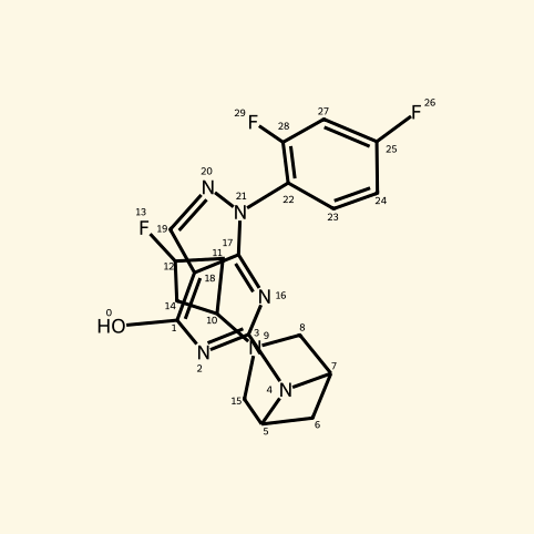 Oc1nc(N2C3CC2CN(C2CC(F)C2)C3)nc2c1cnn2-c1ccc(F)cc1F